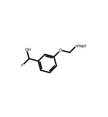 CCCCCCCCOc1cccc(C(O)F)c1